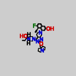 C#Cc1c(F)ccc2cc(O)cc(N3CCc4c(nc(OCC56CCCN5CCC6)nc4N4C[C@@H]5CC(O)[C@H](C4)N5CC=C)C3)c12